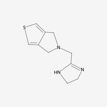 c1scc2c1CN(CC1=NCCN1)C2